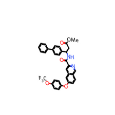 COC(=O)CC(NC(=O)c1cc2cc(Oc3ccc(OC(F)(F)F)cc3)ccc2cn1)c1ccc(-c2ccccc2)cc1